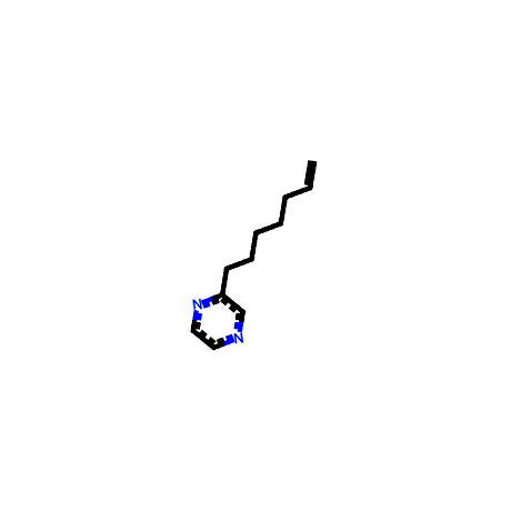 C=CCCCCCc1cnccn1